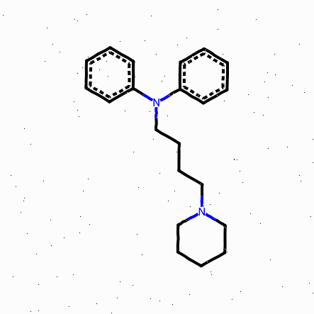 c1ccc(N(CCCCN2CCCCC2)c2ccccc2)cc1